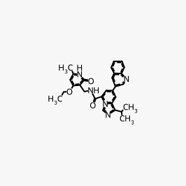 CCOc1cc(C)[nH]c(=O)c1CNC(=O)c1cc(-c2cnc3ccccc3c2)cc2c(C(C)C)ncn12